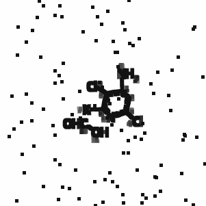 Nc1cc(Cl)n[c]([K])c1Cl.O=CO